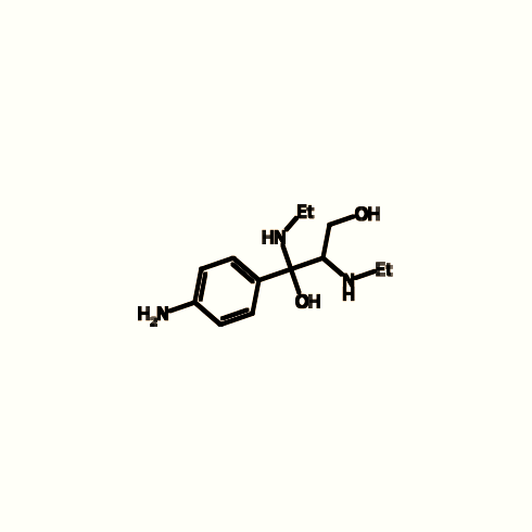 CCNC(CO)C(O)(NCC)c1ccc(N)cc1